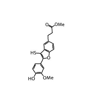 COC(=O)CCc1ccc2oc(-c3ccc(O)c(OC)c3)c(S)c2c1